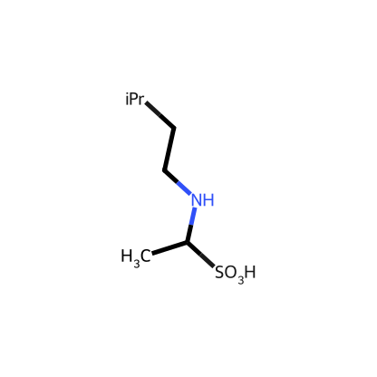 CC(C)CCNC(C)S(=O)(=O)O